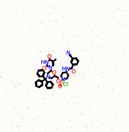 Cc1cn(C2CN(C(c3ccccc3)(c3ccccc3)c3ccccc3)CC(COP(=O)(Cl)N3CCC(NC(=O)c4cccc(C#N)c4)CC3)O2)c(=O)[nH]c1=O